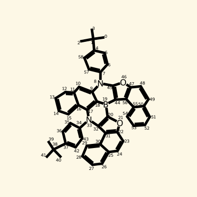 CC(C)(C)c1ccc(N2c3cc4ccccc4c4c3B(c3oc5ccc6ccccc6c5c3N4c3ccc(C(C)(C)C)cc3)c3c2oc2ccc4ccccc4c32)cc1